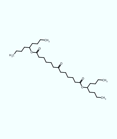 CCCCC(CCCC)OC(=O)CCCCCC(=O)CCCCCC(=O)OC(CCCC)CCCC